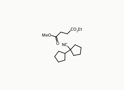 CCOC(=O)CCC(=O)OC.N#CC1(C2CCCC2)CCCC1